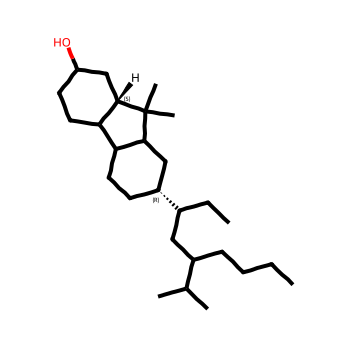 CCCCC(CC(CC)[C@@H]1CCC2C3CCC(O)C[C@@H]3C(C)(C)C2C1)C(C)C